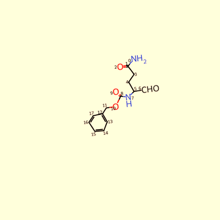 NC(=O)CCC(C=O)NC(=O)OCc1ccccc1